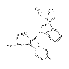 CCC(C)S(=O)(=O)c1ccccc1Cc1c(C)n(CC(=O)O)c2ccc(F)cc12